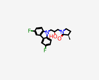 C[C@@H]1CCN(C[C@@H](O)Cn2c3ccc(F)cc3c3cc(F)ccc32)C1=O